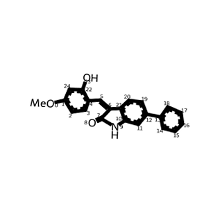 COc1ccc(/C=C2\C(=O)Nc3cc(-c4ccccc4)ccc32)c(O)c1